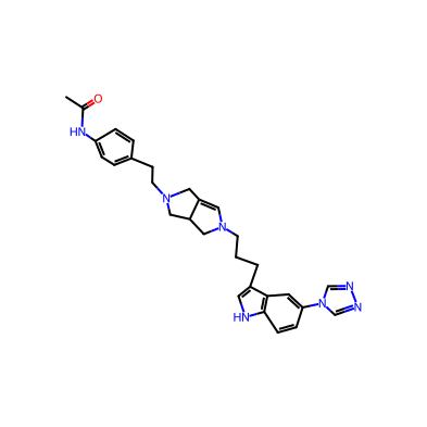 CC(=O)Nc1ccc(CCN2CC3=CN(CCCc4c[nH]c5ccc(-n6cnnc6)cc45)CC3C2)cc1